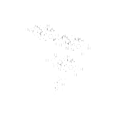 CC(=O)[O-].CC(=O)[O-].CC(=O)[O-].CC(C)(C)c1cc(C=NC2CCCCC2N=Cc2cc(C(C)(C)C)cc(C(C)(C)C)c2O)c(O)c(C(C)(C)C)c1.CC(C)(C)c1cc(C=NC2CCCCC2N=Cc2cc(C(C)(C)C)cc(C(C)(C)C)c2O)c(O)c(C(C)(C)C)c1.CC(C)(C)c1cc(C=N[C@H]2CCCC[C@@H]2N=Cc2cc(C(C)(C)C)cc(C(C)(C)C)c2O)c(O)c(C(C)(C)C)c1.[Co+3]